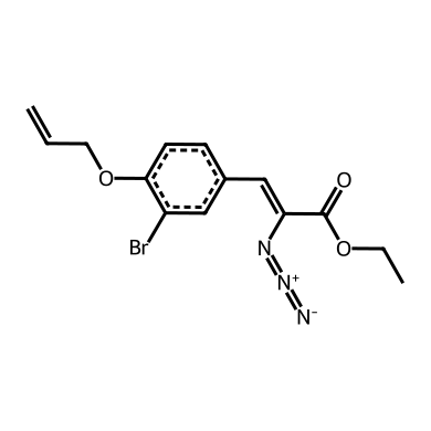 C=CCOc1ccc(/C=C(\N=[N+]=[N-])C(=O)OCC)cc1Br